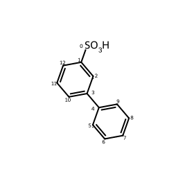 O=S(=O)(O)c1[c]c(-c2[c]cccc2)ccc1